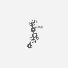 COc1cc(N2CCC(=O)N(CC(=O)NCc3ccccn3)CC2)ccc1-c1cnc(C)o1